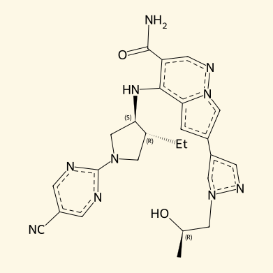 CC[C@@H]1CN(c2ncc(C#N)cn2)C[C@H]1Nc1c(C(N)=O)cnn2cc(-c3cnn(C[C@@H](C)O)c3)cc12